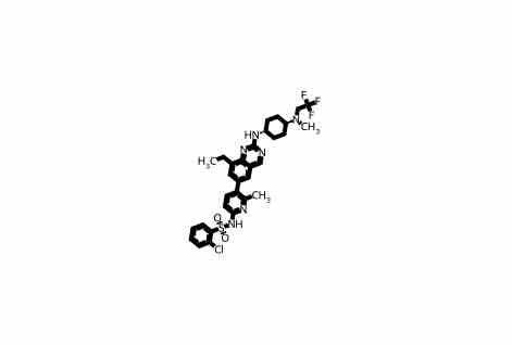 CCc1cc(-c2ccc(NS(=O)(=O)c3ccccc3Cl)nc2C)cc2cnc(N[C@H]3CC[C@H](N(C)CC(F)(F)F)CC3)nc12